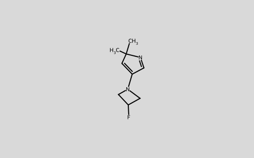 CC1(C)C=C(N2CC(F)C2)C=N1